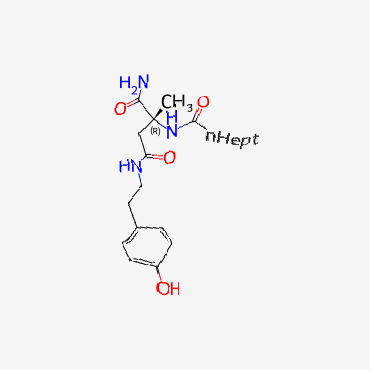 CCCCCCCC(=O)N[C@](C)(CC(=O)NCCc1ccc(O)cc1)C(N)=O